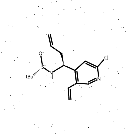 C=CC[C@H](N[S@@+]([O-])C(C)(C)C)c1cc(Cl)ncc1C=C